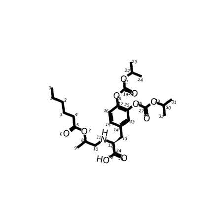 CCCCCC(=O)OC(C)CN[C@@H](Cc1ccc(OC(=O)OC(C)C)c(OC(=O)OC(C)C)c1)C(=O)O